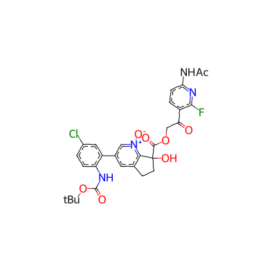 CC(=O)Nc1ccc(C(=O)COC(=O)C2(O)CCc3cc(-c4cc(Cl)ccc4NC(=O)OC(C)(C)C)c[n+]([O-])c32)c(F)n1